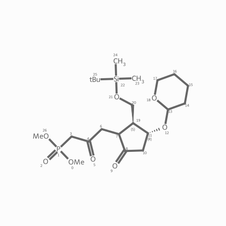 COP(=O)(CC(=O)CC1C(=O)C[C@@H](OC2CCCCO2)[C@@H]1CO[Si](C)(C)C(C)(C)C)OC